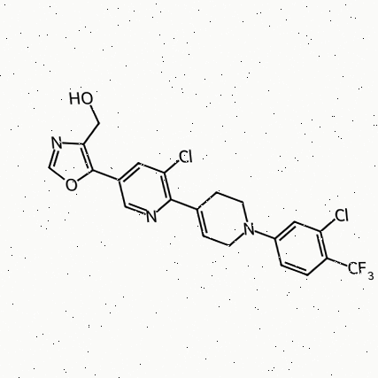 OCc1ncoc1-c1cnc(C2=CCN(c3ccc(C(F)(F)F)c(Cl)c3)CC2)c(Cl)c1